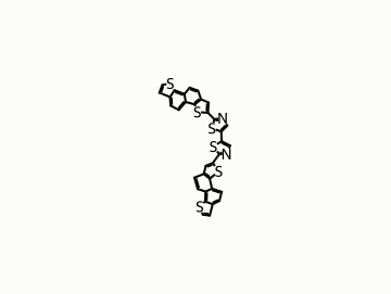 c1cc2ccc3c(ccc4cc(-c5ncc(-c6cnc(-c7cc8ccc9c(ccc%10ccsc%109)c8s7)s6)s5)sc43)c2s1